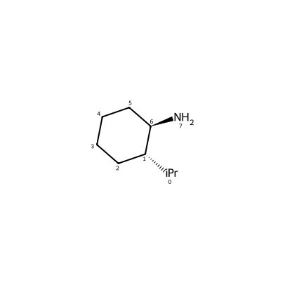 CC(C)[C@@H]1CCCC[C@H]1N